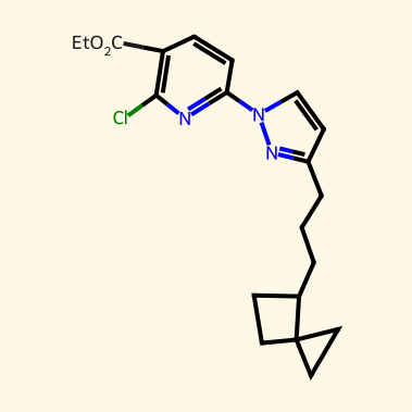 CCOC(=O)c1ccc(-n2ccc(CCCC3CCC34CC4)n2)nc1Cl